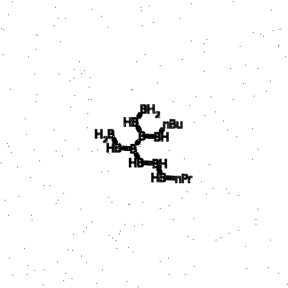 BBB(BBBCCC)B(BB)BCCCC